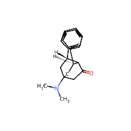 CN(C)C12CC(=O)C([C@@H](c3ccccc3)C1)[C@H](c1ccccc1)C2